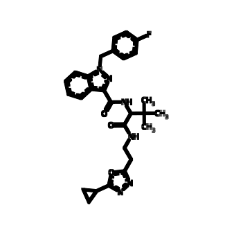 CC(C)(C)C(NC(=O)c1nn(Cc2ccc(F)cc2)c2ccccc12)C(=O)NCCc1nnc(C2CC2)o1